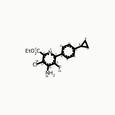 CCOC(=O)c1nc(-c2ccc(C3CC3)cc2)c(F)c(N)c1Cl